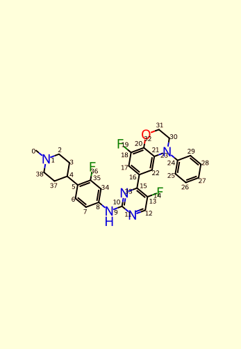 CN1CCC(c2ccc(Nc3ncc(F)c(-c4cc(F)c5c(c4)N(c4ccccc4)CCO5)n3)cc2F)CC1